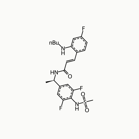 CCCCNc1cc(F)ccc1/C=C/C(=O)N[C@H](C)c1cc(F)c(NS(C)(=O)=O)c(F)c1